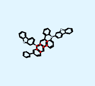 c1ccc(-c2cccc(N(c3cccc(-c4ccccc4N(c4cccc(-c5ccccc5)c4)c4ccc5c(c4)oc4ccccc45)c3)c3ccc4c(c3)oc3ccccc34)c2)cc1